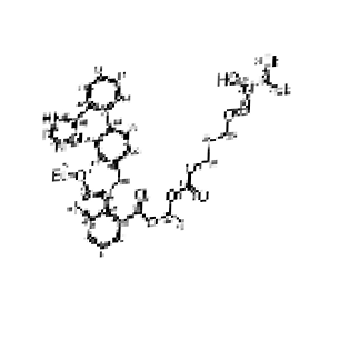 CCOc1nc2cccc(C(=O)OC(C)OC(=O)OCCCO/N=[N+](\O)N(CC)CC)c2n1Cc1ccc(-c2ccccc2-c2nnn[nH]2)cc1